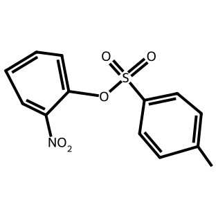 Cc1ccc(S(=O)(=O)Oc2ccccc2[N+](=O)[O-])cc1